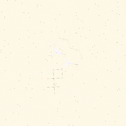 [2H]C([2H])([2H])C1(O)CC(N2C(=O)CCc3cc(Br)cnc32)C1